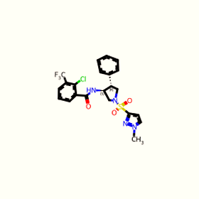 Cn1ccc(S(=O)(=O)N2C[C@@H](NC(=O)c3cccc(C(F)(F)F)c3Cl)[C@H](c3ccccc3)C2)n1